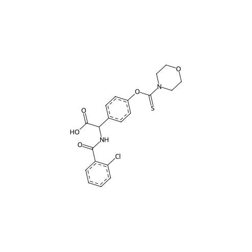 O=C(NC(C(=O)O)c1ccc(OC(=S)N2CCOCC2)cc1)c1ccccc1Cl